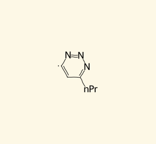 CCCc1c[c]nnn1